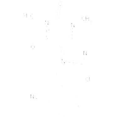 Cn1c(=O)c2c(nc(Cl)n2Cc2ccccc2C#N)n(C)c1=O